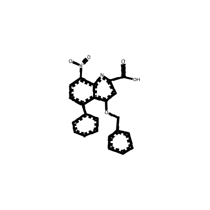 O=C(O)c1cc(OCc2ccccc2)c2c(-c3ccccc3)ccc([N+](=O)[O-])c2n1